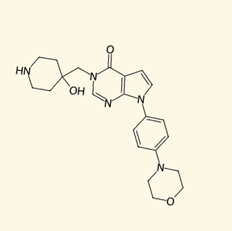 O=c1c2ccn(-c3ccc(N4CCOCC4)cc3)c2ncn1CC1(O)CCNCC1